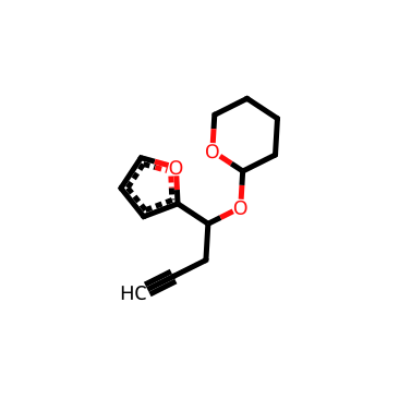 C#CCC(OC1CCCCO1)c1ccco1